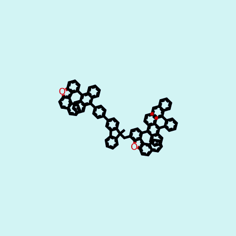 CC1(Cc2ccc(-c3c4ccccc4c(-c4ccccc4-c4cccc5ccccc45)c4ccccc34)c3c2oc2ccc4ccccc4c23)c2ccccc2-c2cc(-c3ccc(-c4c5ccccc5c(-c5cccc6oc7ccc8ccccc8c7c56)c5ccccc45)cc3)ccc21